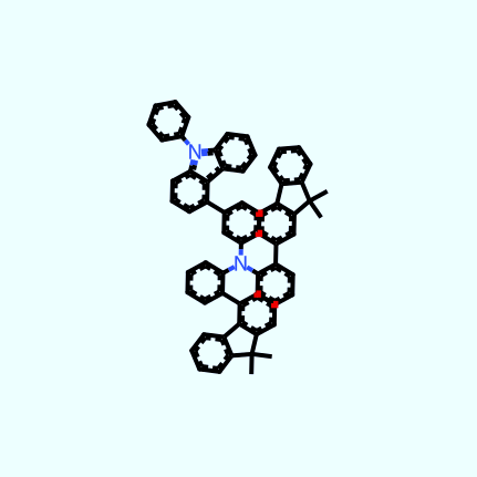 CC1(C)c2ccccc2-c2ccc(-c3ccccc3N(c3cccc(-c4cccc5c4c4ccccc4n5-c4ccccc4)c3)c3ccccc3-c3cccc4c3-c3ccccc3C4(C)C)cc21